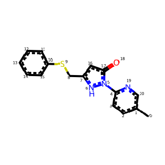 Cc1ccc(-n2[nH]c(CSc3ccccc3)cc2=O)nc1